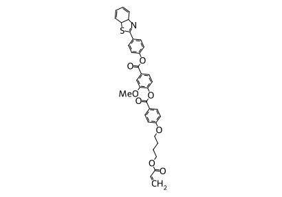 C=CC(=O)OCCCCOc1ccc(C(=O)Oc2ccc(C(=O)Oc3ccc(C4=NC5C=CC=CC5S4)cc3)cc2OC)cc1